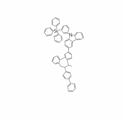 CC1c2ccc(-c3ccc4c(c3)c3ccccc3n4-c3cccc([Si](c4ccccc4)(c4ccccc4)c4ccccc4)c3)cc2-c2ccccc2CC1c1ccc(-c2ccccc2)cc1